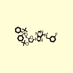 CN(Cc1cccc(F)c1)c1ncnc2c1ncn2[C@H]1C[C@H](OC(C)(C)C)[C@@H](CO[Si](c2ccccc2)(c2ccccc2)C(C)(C)C)O1